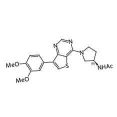 COc1ccc(-c2csc3c(N4CC[C@@H](NC(C)=O)C4)ncnc23)cc1OC